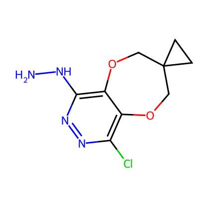 NNc1nnc(Cl)c2c1OCC1(CC1)CO2